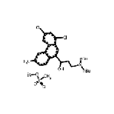 CCCCN(CCCC)CCC(O)c1cc2c(Cl)cc(Cl)cc2c2cc(C(F)(F)F)ccc12.CCOS(C)(=O)=O